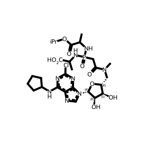 CC(C)OC(=O)C(C)NP(=O)(CC(=O)N(C)C[C@H]1O[C@@H](n2cnc3c(NC4CCCC4)nc(Cl)nc32)[C@H](O)[C@@H]1O)NC(C)C(=O)O